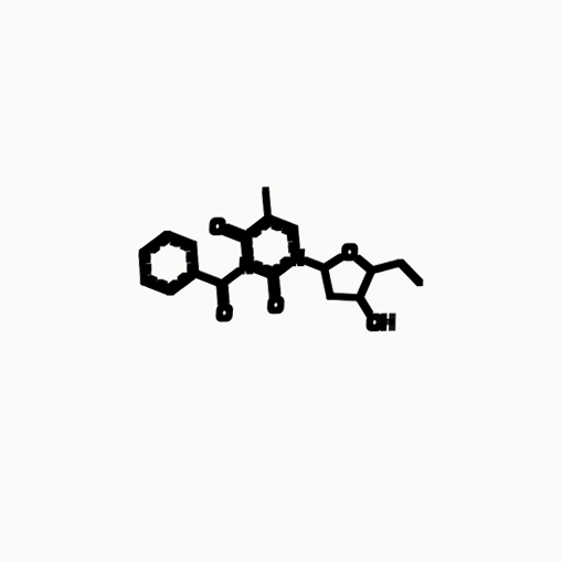 CCC1OC(n2cc(C)c(=O)n(C(=O)c3ccccc3)c2=O)CC1O